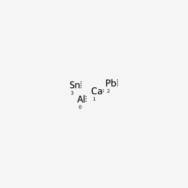 [Al].[Ca].[Pb].[Sn]